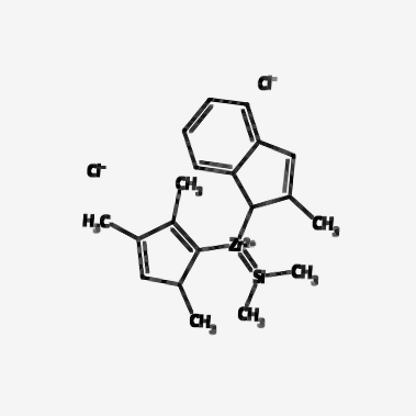 CC1=CC(C)[C]([Zr+2]([CH]2C(C)=Cc3ccccc32)=[Si](C)C)=C1C.[Cl-].[Cl-]